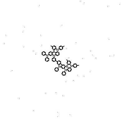 Cc1ccc(N2c3ccc(C)cc3B3c4ccc(N(c5ccccc5)c5ccccc5)cc4N(c4cccc(-c5ccc6c7cc8c(cc7n(-c7ccccc7)c6c5)N(c5ccccc5)c5cccc6c5B8c5cc(C)ccc5N6c5ccc(C)cc5)c4)c4cccc2c43)cc1